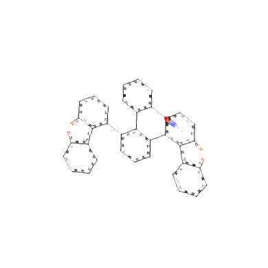 N#Cc1ccccc1-c1c(-c2cccc3oc4ccccc4c23)cccc1-c1cccc2sc3ccccc3c12